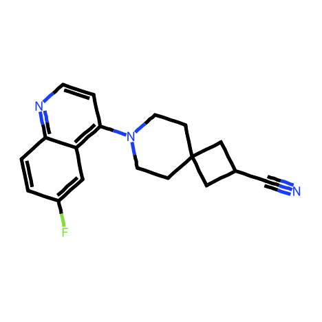 N#CC1CC2(CCN(c3ccnc4ccc(F)cc34)CC2)C1